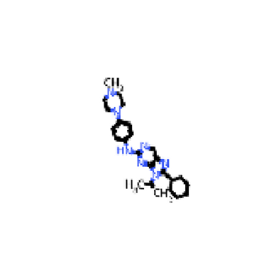 CC(C)n1c(C2CCCCC2)nc2cnc(Nc3ccc(N4CCN(C)CC4)cc3)nc21